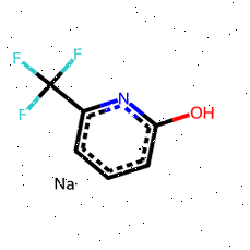 Oc1cccc(C(F)(F)F)n1.[Na]